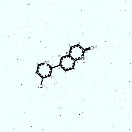 Cc1ccnc(-c2ccc3[nH]c(=O)ccc3c2)c1